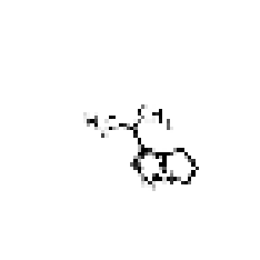 CC(C)c1cnn2c1CCC2